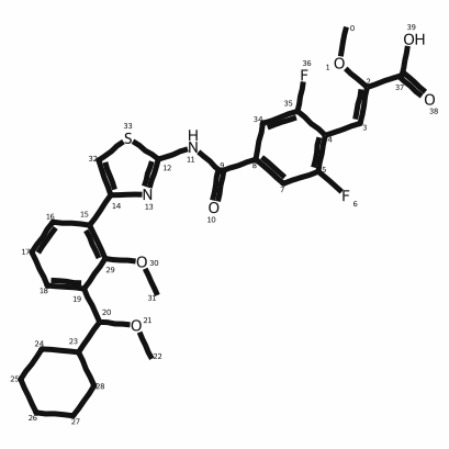 CO/C(=C\c1c(F)cc(C(=O)Nc2nc(-c3cccc(C(OC)C4CCCCC4)c3OC)cs2)cc1F)C(=O)O